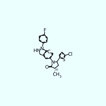 C[C@H]1CC(c2ccc(Cl)s2)N(c2ccc3c(c2)CNN3c2ccc(F)cc2)C1=O